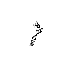 Cn1cnc(S(=O)(=O)N2CCN(CCCCN3C(=S)N(c4ccc(C#N)c(C(F)(F)F)c4)C(=O)C3(C)C)CC2)c1